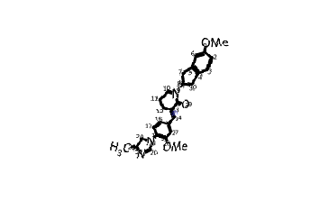 COc1ccc2c(c1)C[C@@H](N1CCC/C(=C\c3ccc(N4C=NC(C)C4)c(OC)c3)C1=O)C2